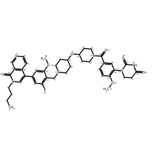 CCCCn1cc(-c2cc(F)c(CN3CCC(OC4CCN(C(=O)c5ccc(OC)c(N6CCC(=O)NC6=O)c5)CC4)CC3)c(OC)c2)c2ccncc2c1=O